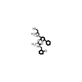 C[C@@H](Oc1nc(-c2ccccc2)ccc1NCC(N)CS)C(=O)NCc1ccccc1Cl